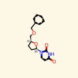 O=c1ccn([C@H]2CC[C@@H](COCc3ccccc3)O2)c(=O)[nH]1